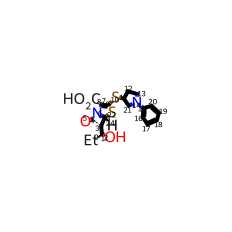 CC[C@H](O)[C@@H]1C(=O)N2C(C(=O)O)=C(SC3CCN(c4ccccc4)C3)S[C@H]12